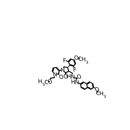 COCCn1cccc(N2C[C@@H](c3c(F)cc(OC)cc3F)C(CNC(=O)Nc3ccc4cc(OC)ccc4c3)C2=O)c1=O